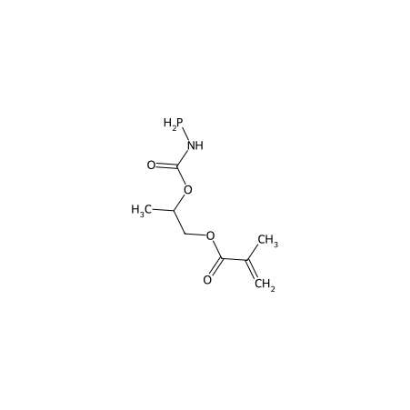 C=C(C)C(=O)OCC(C)OC(=O)NP